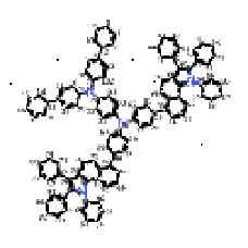 c1ccc(-c2ccc(N(c3ccc(-c4ccccc4)cc3)c3ccc(N(c4ccc(-c5cccc6c5ccc5c(-c7ccccc7)c(-c7ccccc7)n(-c7ccccc7)c56)cc4)c4ccc(-c5cccc6c5ccc5c(-c7ccccc7)c(-c7ccccc7)n(-c7ccccc7)c56)cc4)cc3)cc2)cc1